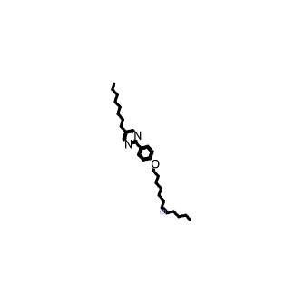 CCCC/C=C\CCCCCCOc1ccc(-c2ncc(CCCCCCCC)cn2)cc1